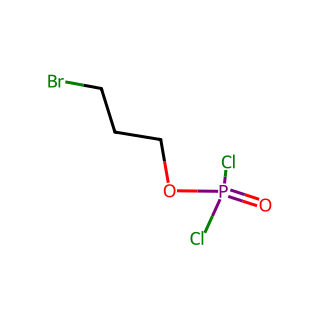 O=P(Cl)(Cl)OCCCBr